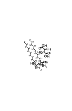 CCCCCCCCCCNC(=N)N.CCCCCCCCCCNC(=N)N.O=C(O)C(O)C(O)C(=O)O